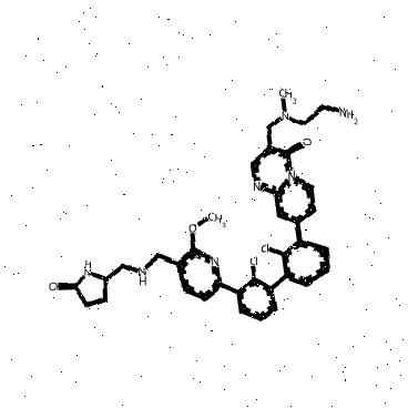 COc1nc(-c2cccc(-c3cccc(-c4ccn5c(=O)c(CN(C)CCN)cnc5c4)c3Cl)c2Cl)ccc1CNCC1CCC(=O)N1